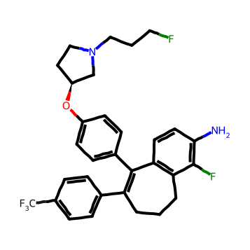 Nc1ccc2c(c1F)CCCC(c1ccc(C(F)(F)F)cc1)=C2c1ccc(O[C@H]2CCN(CCCF)C2)cc1